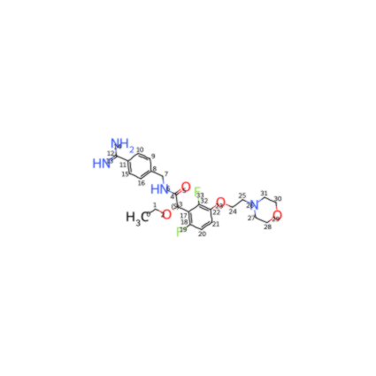 CCO[C@H](C(=O)NCc1ccc(C(=N)N)cc1)c1c(F)ccc(OCCN2CCOCC2)c1F